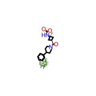 O=C1N[C@]2(CO1)C[C@H](C(=O)N1CCC(c3cccc(S(F)(F)(F)(F)F)c3)CC1)C2